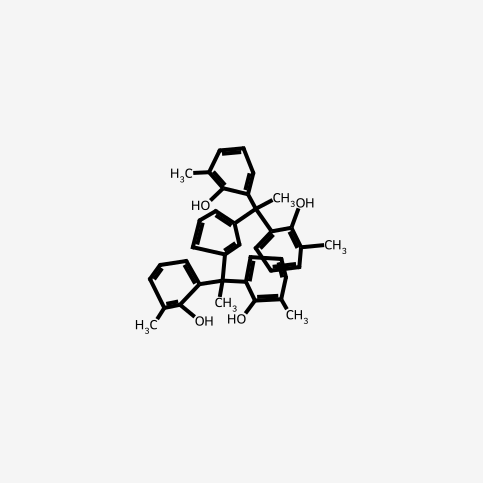 Cc1cccc(C(C)(c2cccc(C(C)(c3cccc(C)c3O)c3cccc(C)c3O)c2)c2cccc(C)c2O)c1O